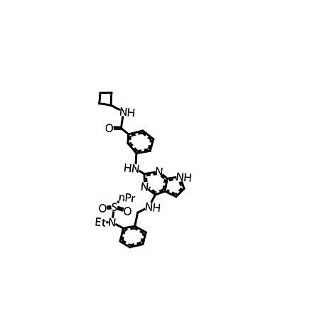 CCCS(=O)(=O)N(CC)c1ccccc1CNc1nc(Nc2cccc(C(=O)NC3CCC3)c2)nc2[nH]ccc12